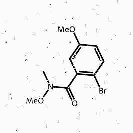 COc1ccc(Br)c(C(=O)N(C)OC)c1